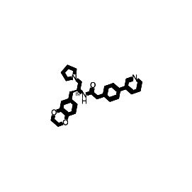 O=C(Cc1ccc(-c2cccnc2)cc1)N[C@@H](Cc1ccc2c(c1)OCCO2)CN1CCCC1